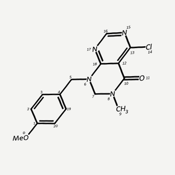 COc1ccc(CN2CN(C)C(=O)c3c(Cl)ncnc32)cc1